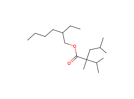 CCCCC(CC)COC(=O)C(C)(CC(C)C)C(C)C